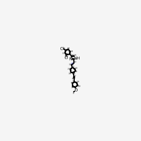 COc1ccc(C#Cc2ccc(/C=C/c3nc(-c4ccc(Cl)cc4Cl)c[nH]3)cc2)cc1